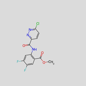 COC(=O)c1cc(F)c(F)cc1NC(=O)c1ccc(Cl)nn1